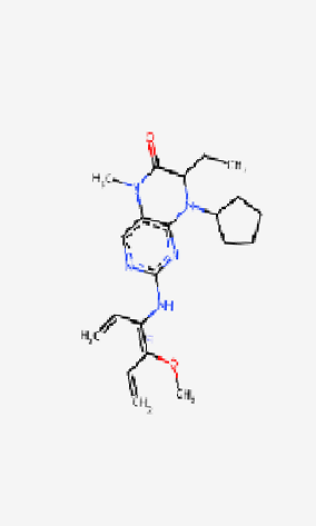 C=C/C(Nc1ncc2c(n1)N(C1CCCC1)C(CC)C(=O)N2C)=C(\C=C)OC